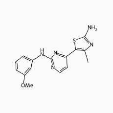 COc1cccc(Nc2nccc(-c3sc(N)nc3C)n2)c1